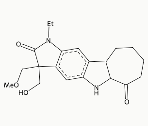 CCN1C(=O)C(CO)(COC)c2cc3c(cc21)C1CCCCC(=O)C1N3